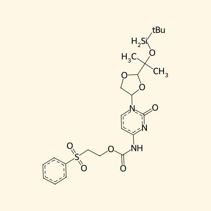 CC(C)(C)[SiH2]OC(C)(C)C1OCC(n2ccc(NC(=O)OCCS(=O)(=O)c3ccccc3)nc2=O)O1